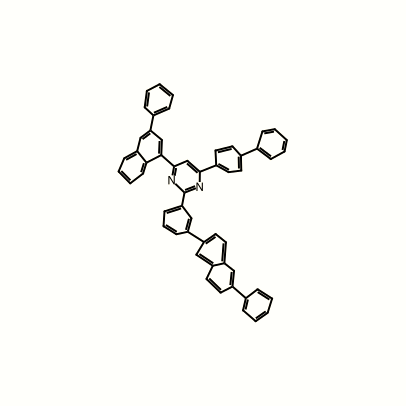 c1ccc(-c2ccc(-c3cc(-c4cc(-c5ccccc5)cc5ccccc45)nc(-c4cccc(-c5ccc6cc(-c7ccccc7)ccc6c5)c4)n3)cc2)cc1